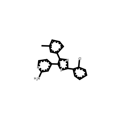 Cc1cccc(-c2nc(-c3ccccc3Cl)sc2-c2ccnc(N)c2)c1